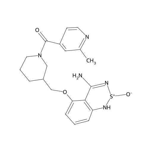 Cc1cc(C(=O)N2CCCC(COc3cccc4c3C(N)=N[S+]([O-])N4)C2)ccn1